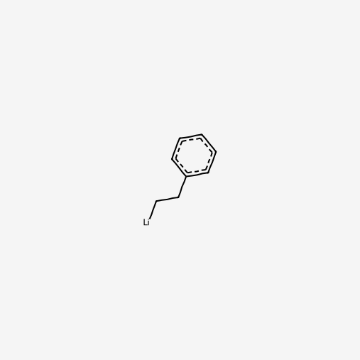 [Li][CH2]Cc1ccccc1